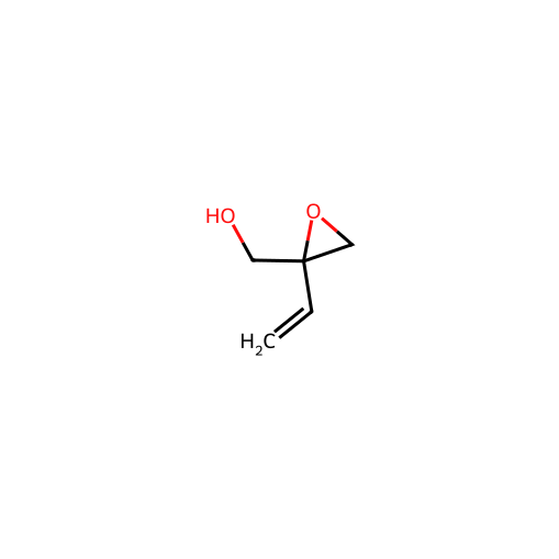 C=CC1(CO)CO1